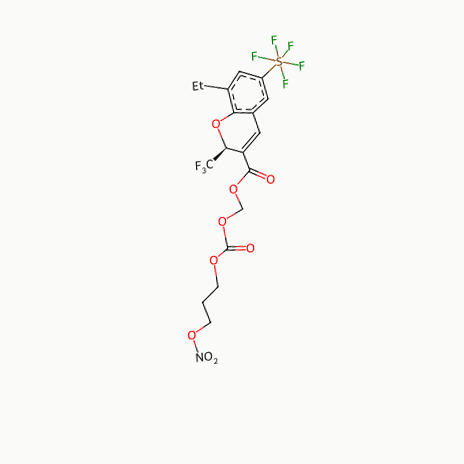 CCc1cc(S(F)(F)(F)(F)F)cc2c1O[C@H](C(F)(F)F)C(C(=O)OCOC(=O)OCCCO[N+](=O)[O-])=C2